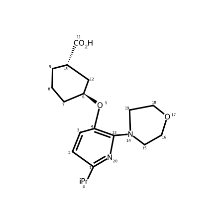 CC(C)c1ccc(O[C@H]2CCC[C@H](C(=O)O)C2)c(N2CCOCC2)n1